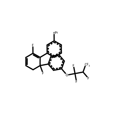 CCCc1cccc(C2=C(F)C=CCC2(F)c2cccc(OC(F)(F)C(F)C(F)(F)F)c2)c1